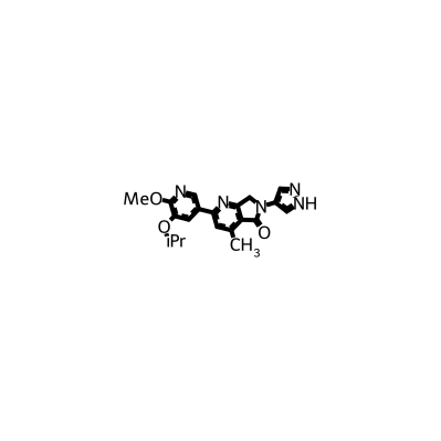 COc1ncc(-c2cc(C)c3c(n2)CN(c2cn[nH]c2)C3=O)cc1OC(C)C